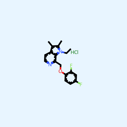 CCn1c(C)c(C)c2ccnc(COc3ccc(F)cc3F)c21.Cl